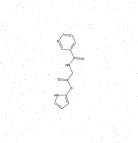 O=C(CNC(=O)c1cccnc1)Oc1ccc[nH]1